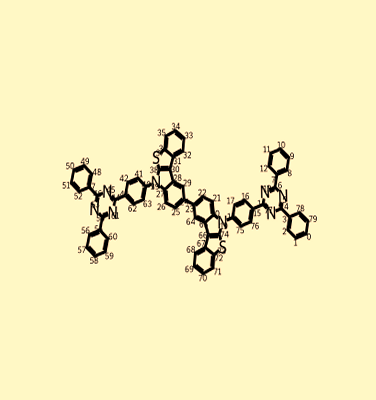 c1ccc(-c2nc(-c3ccccc3)nc(-c3ccc(-n4c5ccc(-c6ccc7c(c6)c6c8ccccc8sc6n7-c6ccc(-c7nc(-c8ccccc8)nc(-c8ccccc8)n7)cc6)cc5c5c6ccccc6sc54)cc3)n2)cc1